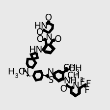 CN(C[C@H]1CC[C@H](c2nc3cc(C(C)(C)O)c(NC(=O)c4cccc(C(F)(F)F)n4)cc3s2)CC1)C1CCC2(CC1)CC(Nc1cccc3c1C(=O)N(C1CCC(=O)NC1=O)C3=O)C2